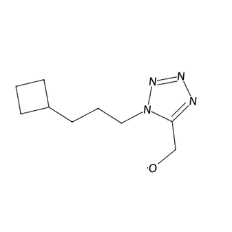 [O]Cc1nnnn1CCCC1CCC1